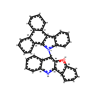 c1ccc2c(-n3c4ccccc4c4c5ccccc5c5ccccc5c43)c3oc4ccccc4c3nc2c1